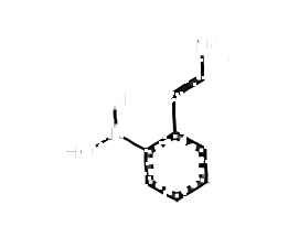 O=[N+]([O-])C=Cc1ccccc1B(O)O